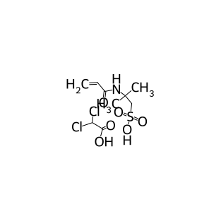 C=CC(=O)NC(C)(C)CS(=O)(=O)O.O=C(O)C(Cl)Cl